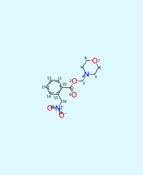 O=C(OCN1CCOCC1)c1ccccc1C[N+](=O)[O-]